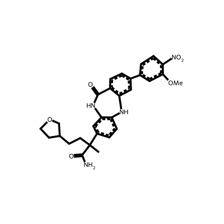 COc1cc(-c2ccc3c(c2)Nc2ccc(C(C)(CCC4CCOC4)C(N)=O)cc2NC3=O)ccc1[N+](=O)[O-]